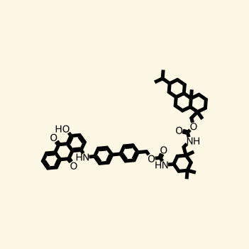 CC(C)C1CCC2C(CCC3C(C)(COC(=O)NCC4(C)CC(NC(=O)OCc5ccc(-c6ccc(Nc7ccc(O)c8c7C(=O)c7ccccc7C8=O)cc6)cc5)CC(C)(C)C4)CCCC23C)C1